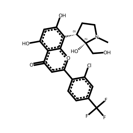 CN1CC[C@@H](c2c(O)cc(O)c3c(=O)cc(-c4ccc(C(F)(F)F)cc4Cl)oc23)[C@]1(O)CO